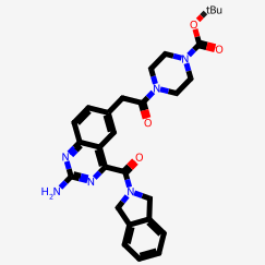 CC(C)(C)OC(=O)N1CCN(C(=O)Cc2ccc3nc(N)nc(C(=O)N4Cc5ccccc5C4)c3c2)CC1